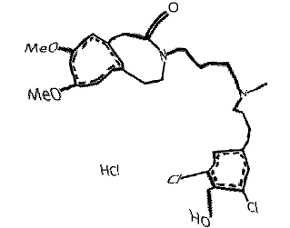 COc1cc2c(cc1OC)CC(=O)N(CCCN(C)CCc1cc(Cl)c(O)c(Cl)c1)CC2.Cl